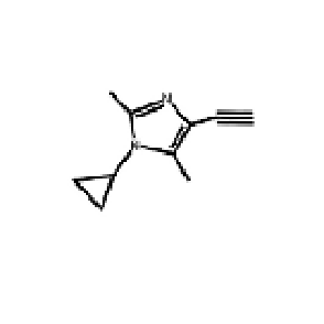 C#Cc1nc(C)n(C2CC2)c1C